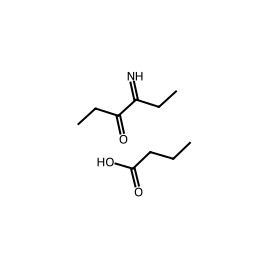 CCC(=N)C(=O)CC.CCCC(=O)O